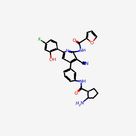 N#Cc1c(-c2cccc(NC(=O)C3CCCC3N)c2)cc(-c2ccc(F)cc2O)nc1NC(=O)c1ccco1